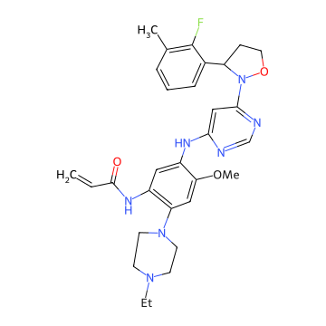 C=CC(=O)Nc1cc(Nc2cc(N3OCCC3c3cccc(C)c3F)ncn2)c(OC)cc1N1CCN(CC)CC1